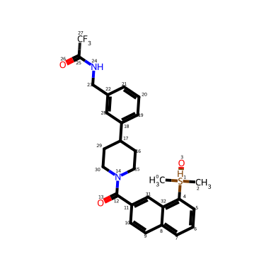 C[SH](C)(=O)c1cccc2ccc(C(=O)N3CCC(c4cccc(CNC(=O)C(F)(F)F)c4)CC3)cc12